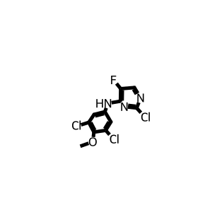 COc1c(Cl)cc(Nc2nc(Cl)ncc2F)cc1Cl